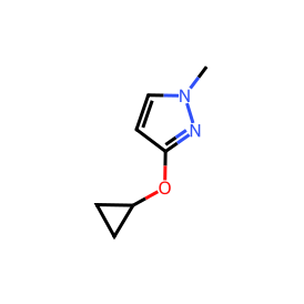 Cn1ccc(OC2CC2)n1